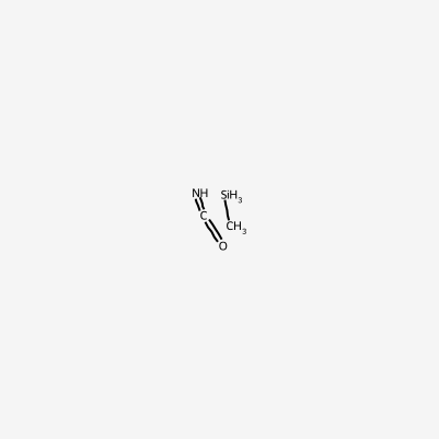 C[SiH3].N=C=O